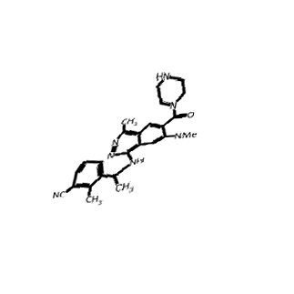 CNc1cc2c(NC(C)c3cccc(C#N)c3C)nnc(C)c2cc1C(=O)N1CCNCC1